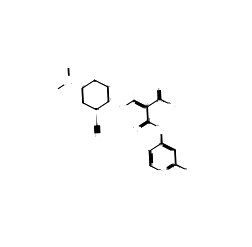 CN(C)[C@@H]1CC[C@H](N/C=C(\C(=N)Nc2ccnc(F)c2)C(N)=O)[C@@H](C#N)C1